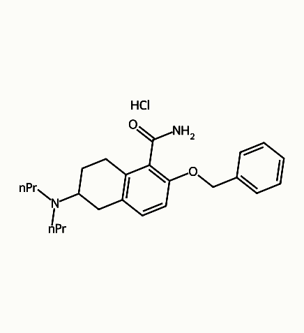 CCCN(CCC)C1CCc2c(ccc(OCc3ccccc3)c2C(N)=O)C1.Cl